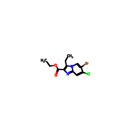 CCOC(=O)c1nc2cc(Cl)c(Br)cn2c1CC